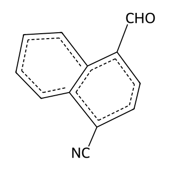 N#Cc1ccc(C=O)c2ccccc12